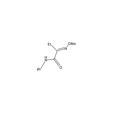 CC/C(=N\OC)C(=O)NC(C)C